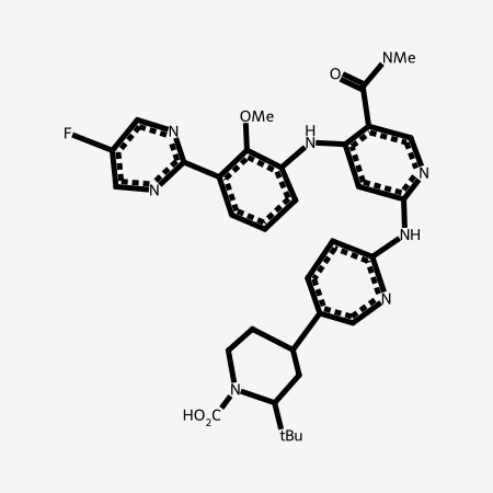 CNC(=O)c1cnc(Nc2ccc(C3CCN(C(=O)O)C(C(C)(C)C)C3)cn2)cc1Nc1cccc(-c2ncc(F)cn2)c1OC